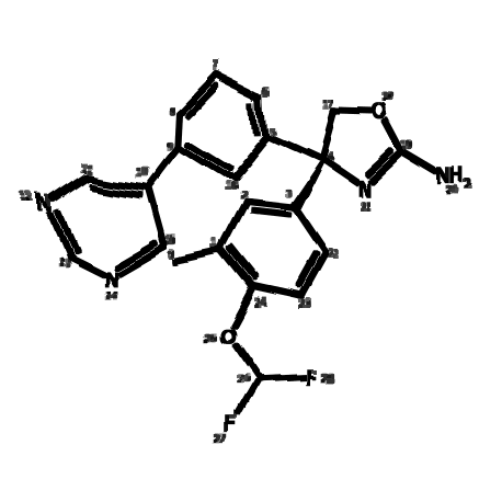 Cc1cc([C@@]2(c3cccc(-c4cncnc4)c3)COC(N)=N2)ccc1OC(F)F